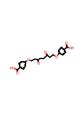 O=C(CCOc1ccc(C(=O)O)cc1)CCC(=O)CCOc1ccc(C(=O)O)cc1